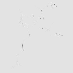 C=C(C)COCCC[Si](OC(C)OC)(OC(C)OC)OC(C)OC